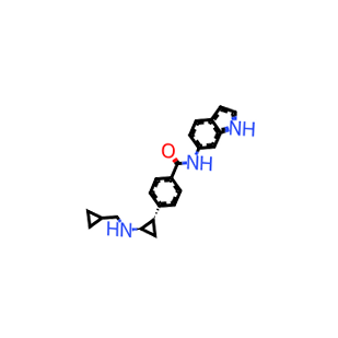 O=C(Nc1ccc2cc[nH]c2c1)c1ccc([C@@H]2C[C@H]2NCC2CC2)cc1